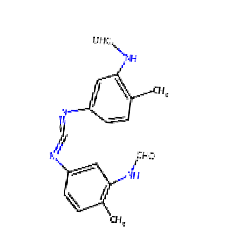 Cc1ccc(N=C=Nc2ccc(C)c(NC=O)c2)cc1NC=O